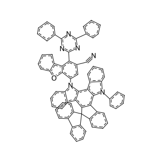 N#Cc1cc(-n2c3ccccc3c3c4c(c5c(c6ccccc6n5-c5ccccc5)c32)-c2ccccc2C42c3ccccc3-c3ccccc32)c2oc3ccccc3c2c1-c1nc(-c2ccccc2)nc(-c2ccccc2)n1